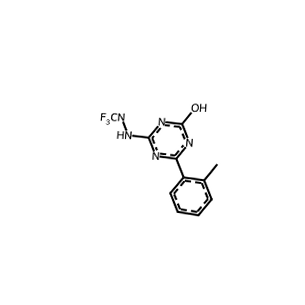 Cc1ccccc1-c1nc(O)nc(NNC(F)(F)F)n1